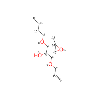 C=CCOCC(O)COCCCC.[CH2]C1CO1